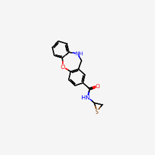 O=C(NC1CS1)c1ccc2c(c1)CNc1ccccc1O2